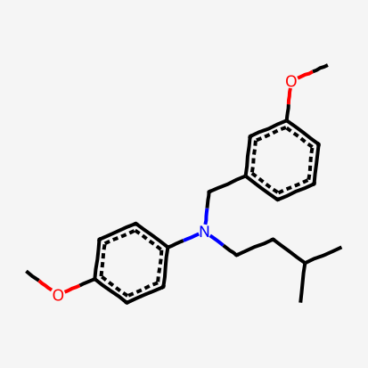 COc1ccc(N(CCC(C)C)Cc2cccc(OC)c2)cc1